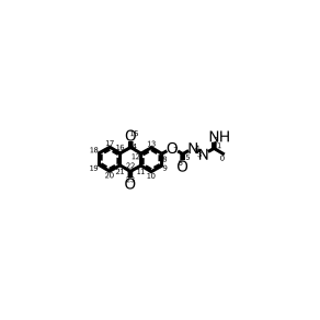 CC(=N)N=NC(=O)Oc1ccc2c(c1)C(=O)c1ccccc1C2=O